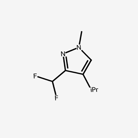 CC(C)c1cn(C)nc1C(F)F